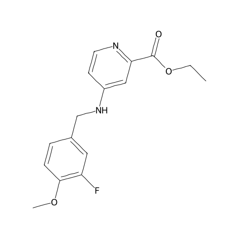 CCOC(=O)c1cc(NCc2ccc(OC)c(F)c2)ccn1